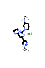 CNC1CCCN(c2nc(-c3cnn(C)c3)cc3nccn23)C1.Cl